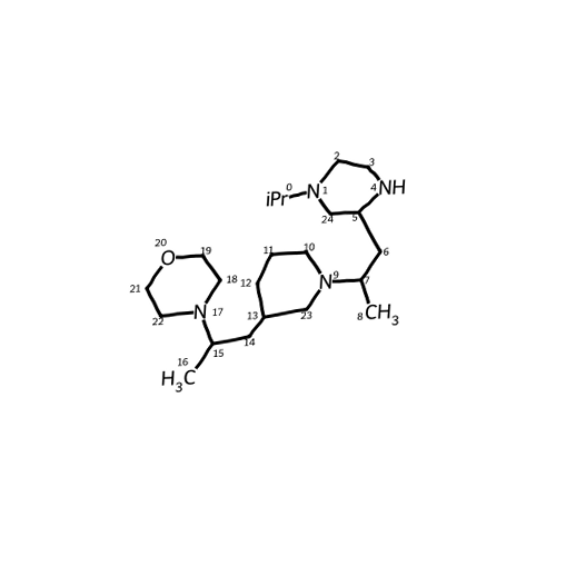 CC(C)N1CCNC(CC(C)N2CCCC(CC(C)N3CCOCC3)C2)C1